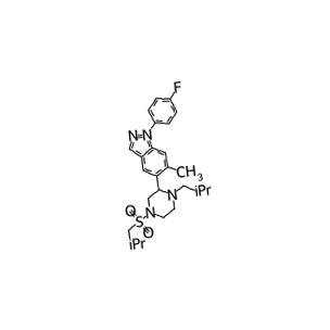 Cc1cc2c(cnn2-c2ccc(F)cc2)cc1C1CN(S(=O)(=O)CC(C)C)CCN1CC(C)C